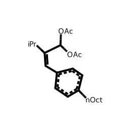 CCCCCCCCc1ccc(C=C(C(C)C)C(OC(C)=O)OC(C)=O)cc1